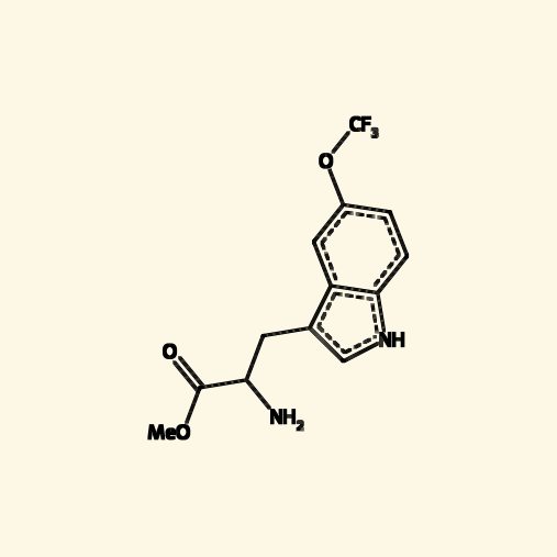 COC(=O)C(N)Cc1c[nH]c2ccc(OC(F)(F)F)cc12